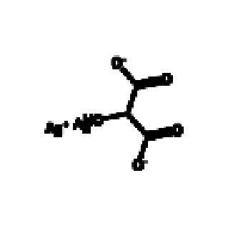 O=C([O-])C(O)C(=O)[O-].[Ag+].[Ag+]